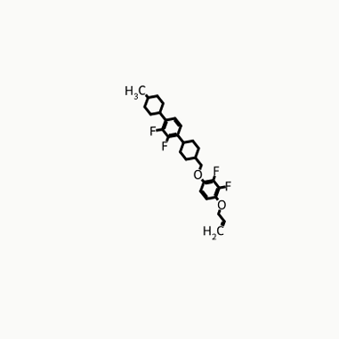 C=CCOc1ccc(OCC2CCC(c3ccc(C4CCC(C)CC4)c(F)c3F)CC2)c(F)c1F